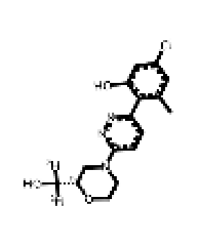 [2H]C([2H])(O)[C@@H]1CN(c2ccc(-c3c(C)cc(Cl)cc3O)nn2)CCO1